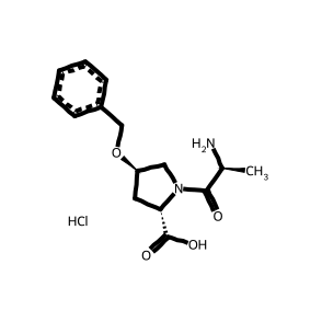 C[C@H](N)C(=O)N1C[C@H](OCc2ccccc2)C[C@H]1C(=O)O.Cl